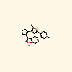 Cc1ccc(-c2cc(C3=C(c4c(C)oc5ccccc45)CCC3)c(C)s2)cc1